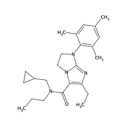 CCCN(CC1CC1)C(=O)c1c(CC)nc2n1CCN2c1c(C)cc(C)cc1C